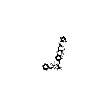 O=C(CC1Oc2ccc(C[C@H](NS(=O)(=O)Cc3ccccc3)C(=O)O)cc2NC1=O)Nc1ncc[nH]1